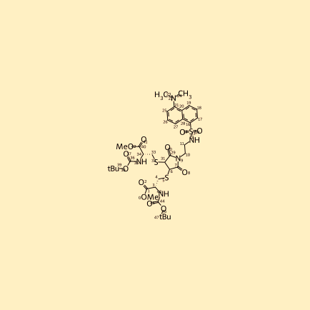 COC(=O)[C@H](CSC1C(=O)N(CCNS(=O)(=O)c2cccc3c(N(C)C)cccc23)C(=O)C1SC[C@H](NC(=O)OC(C)(C)C)C(=O)OC)NC(=O)OC(C)(C)C